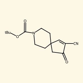 CC(C)(C)OC(=O)N1CCC2(C=C(C#N)C(=O)C2)CC1